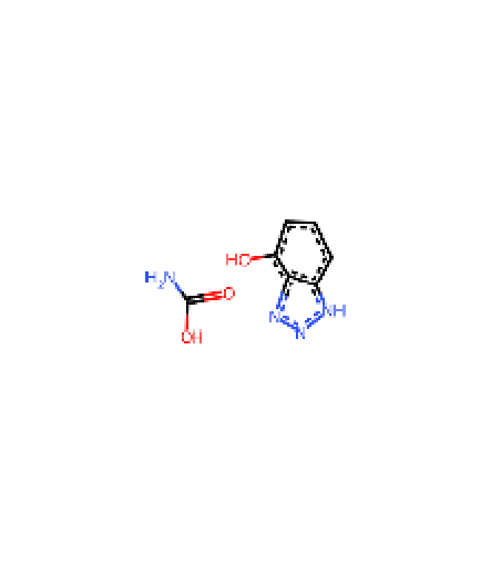 NC(=O)O.Oc1cccc2[nH]nnc12